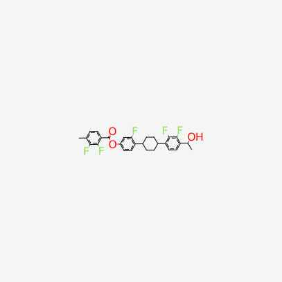 Cc1ccc(C(=O)Oc2ccc(C3CCC(c4ccc(C(C)O)c(F)c4F)CC3)c(F)c2)c(F)c1F